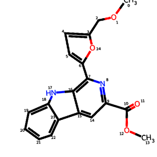 COCc1ccc(-c2nc(C(=O)OC)cc3c2[nH]c2ccccc23)o1